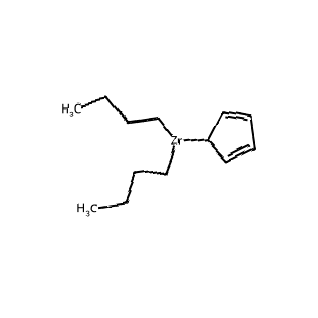 CCC[CH2][Zr]([CH2]CCC)[CH]1C=CC=C1